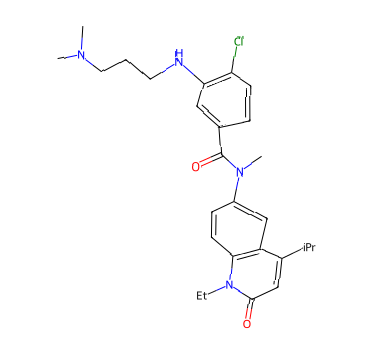 CCn1c(=O)cc(C(C)C)c2cc(N(C)C(=O)c3ccc(Cl)c(NCCCN(C)C)c3)ccc21